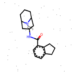 CN1C2CCCC1CC(NC(=O)c1cccc3c1CCC3)C2